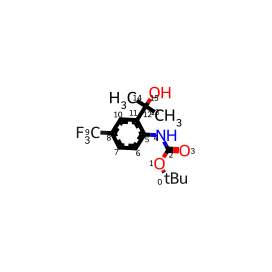 CC(C)(C)OC(=O)Nc1ccc(C(F)(F)F)cc1C(C)(C)O